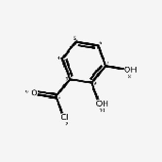 O=C(Cl)c1cccc(O)c1O